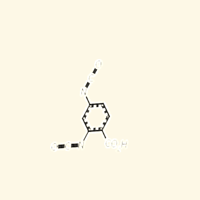 O=C=Nc1ccc(C(=O)O)c(N=C=O)c1